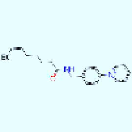 CC/C=C\CCCCC(=O)NCc1ccc(-[n+]2ccccc2)cc1